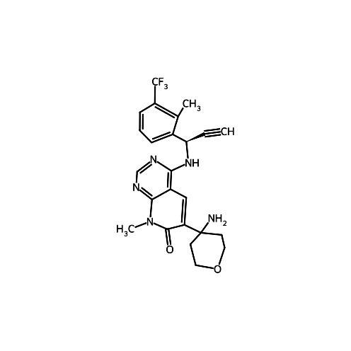 C#C[C@@H](Nc1ncnc2c1cc(C1(N)CCOCC1)c(=O)n2C)c1cccc(C(F)(F)F)c1C